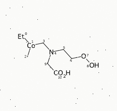 C[CH2][Co]([CH3])[CH2]N(CCOO)CC(=O)O